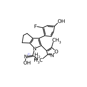 Cc1noc(C)c1-c1c(-c2ccc(O)cc2F)c2c(n1/C(N)=N/O)CCC2